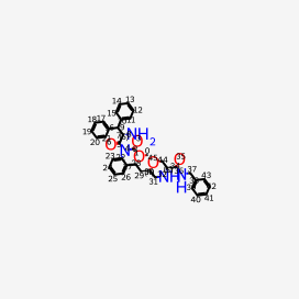 COC(=O)N(C(=O)[C@@H](N)C(c1ccccc1)c1ccccc1)c1ccccc1CC[C@@H]1CN[C@H](C(=O)NCc2ccccc2)CO1